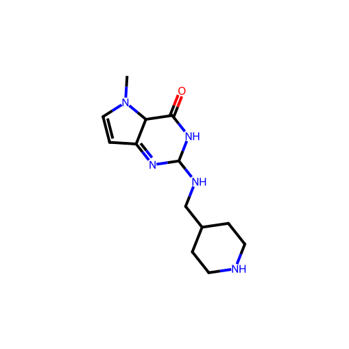 CN1C=CC2=NC(NCC3CCNCC3)NC(=O)C21